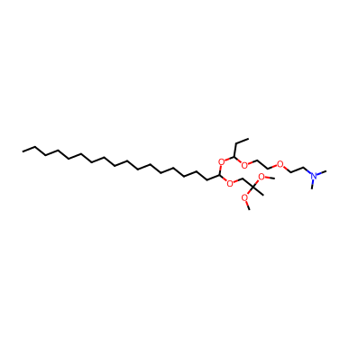 CCCCCCCCCCCCCCCCCC(OCC(C)(OC)OC)OC(CC)OCCOCCN(C)C